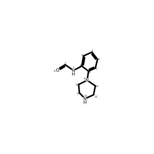 O=[C]Nc1ccccc1N1CCNCC1